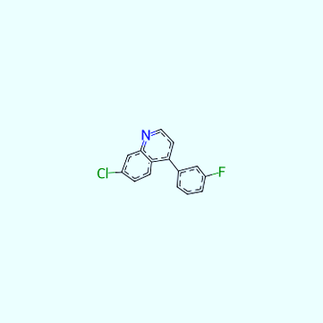 Fc1cccc(-c2ccnc3cc(Cl)ccc23)c1